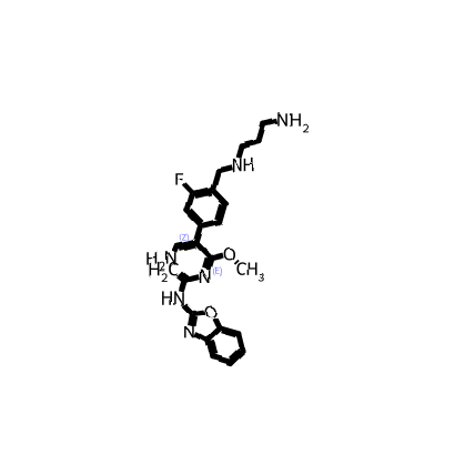 C=C(/N=C(OC)\C(=C/N)c1ccc(CNCCCN)c(F)c1)Nc1nc2ccccc2o1